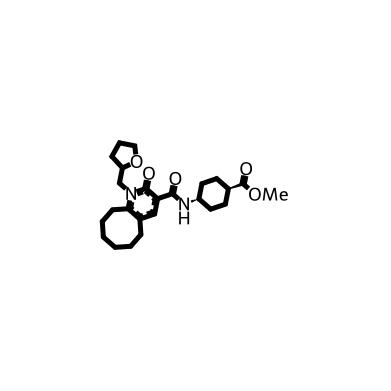 COC(=O)[C@H]1CC[C@H](NC(=O)c2cc3c(n(CC4CCCO4)c2=O)CCCCCC3)CC1